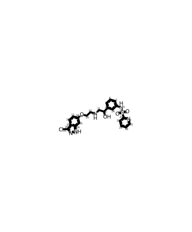 O=S(=O)(Nc1cccc(C(O)CNCCOc2ccc3c(Cl)n[nH]c3c2)c1)c1ccccn1